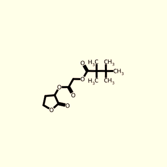 CC(C)(C)C(C)(C)C(=O)OCC(=O)OC1CCOC1=O